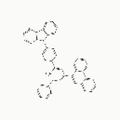 N/C(=C\C(=C/Cc1ccccn1)c1cc2ccccc2c2ccccc12)c1ccc(N2c3ccccc3C3N=CC=CC32)cc1